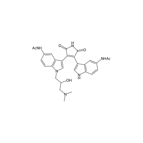 CC(=O)Nc1ccc2[nH]cc(C3=C(c4cn(CC(O)CN(C)C)c5ccc(NC(C)=O)cc45)C(=O)NC3=O)c2c1